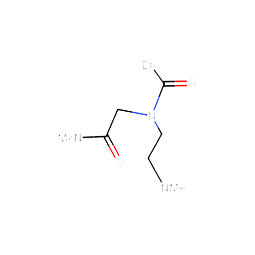 CCC(=O)N(CCNC)CC(=O)NC